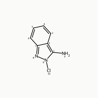 Nc1c2ccccc2nn1Cl